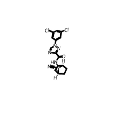 N#CN1[C@H]2CC[C@@H]1[C@H](NC(=O)c1ncn(-c3cc(Cl)cc(Cl)c3)n1)C2